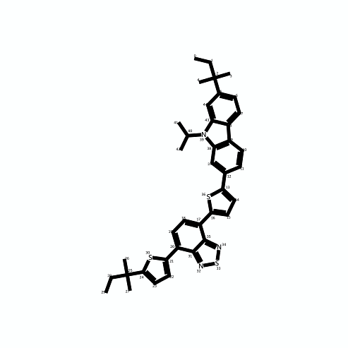 CCC(C)(C)c1ccc2c3ccc(-c4ccc(-c5ccc(-c6ccc(C(C)(C)CC)s6)c6nsnc56)s4)cc3n(C(C)C)c2c1